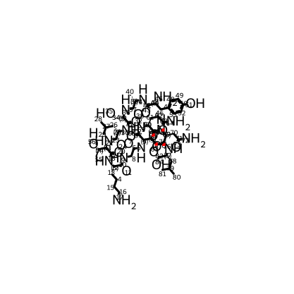 CC[C@H](C)[C@H](NC(=O)CNC(=O)[C@H](CCCCN)NC(=O)[C@@H](NC(=O)[C@H](CC(C)C)NC(=O)[C@H](CO)NC(=O)[C@H](C)NC(=O)[C@@H](N)Cc1ccc(O)cc1)[C@@H](C)O)C(=O)N[C@@H](CCC(N)=O)C(=O)N[C@@H](CC(N)=O)C(=O)N[C@@H](CC(C)C)C(=O)O